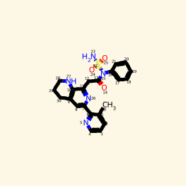 Cc1cccnc1-c1cc2c(c(CC(=O)N(c3ccccc3)S(N)(=O)=O)n1)NCCC2